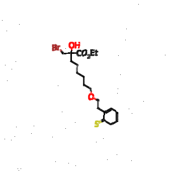 CCOC(=O)C(O)(CBr)CCCCCCOCCC1=CC=CCC1=S